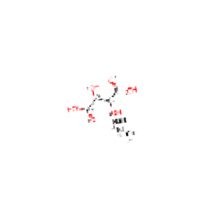 O=C(O)C(O)C(O)C(=O)O.[Cu].[KH].[NaH]